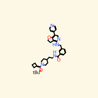 CC(C)(C)OC(=C1CCC1)N1CCC(CCNC(=O)c2cccc(CNc3ncc(-c4ccncc4)c4c3CCO4)c2)CC1